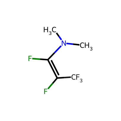 CN(C)/C(F)=C(/F)C(F)(F)F